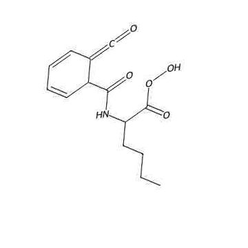 CCCCC(NC(=O)C1C=CC=CC1=C=O)C(=O)OO